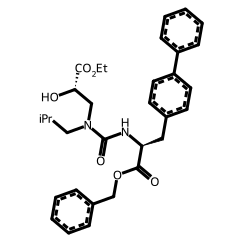 CCOC(=O)[C@@H](O)CN(CC(C)C)C(=O)N[C@@H](Cc1ccc(-c2ccccc2)cc1)C(=O)OCc1ccccc1